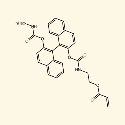 C=CC(=O)OCCNC(=O)Oc1ccc2ccccc2c1-c1c(OC(=O)NCCCCCC)ccc2ccccc12